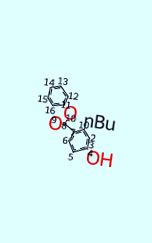 CCCCc1cc(O)ccc1C(=O)Oc1ccccc1